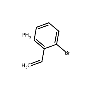 C=Cc1ccccc1Br.P